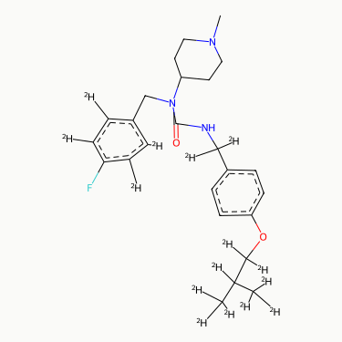 [2H]c1c([2H])c(CN(C(=O)NC([2H])([2H])c2ccc(OC([2H])([2H])C([2H])(C([2H])([2H])[2H])C([2H])([2H])[2H])cc2)C2CCN(C)CC2)c([2H])c([2H])c1F